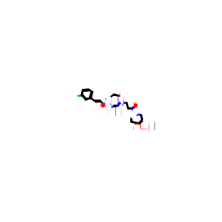 CC1CN(CCC(=O)N2CCC(C)(O)CC2)C(=O)CCN1C(=O)C=Cc1cccc(Cl)c1